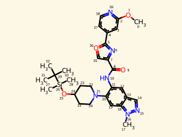 COc1cc(-c2nc(C(=O)Nc3cc4cnn(C)c4cc3N3CCC(O[Si](C)(C)C(C)(C)C)CC3)co2)ccn1